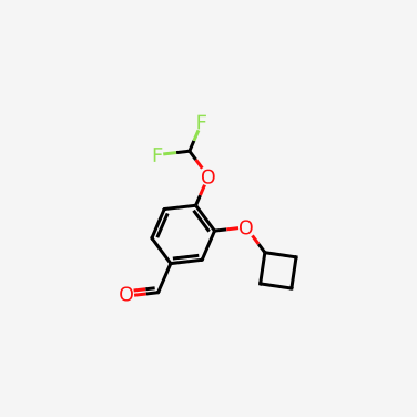 O=Cc1ccc(OC(F)F)c(OC2CCC2)c1